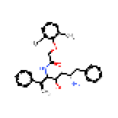 C=C(c1ccccc1)C(NC(=O)COc1c(C)cccc1C)C(O)C[C@@H](N)Cc1ccccc1